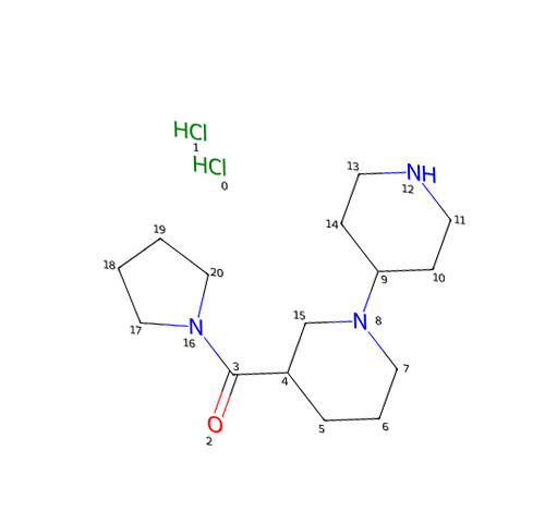 Cl.Cl.O=C(C1CCCN(C2CCNCC2)C1)N1CCCC1